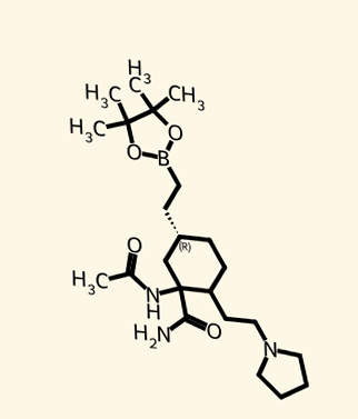 CC(=O)NC1(C(N)=O)C[C@H](CCB2OC(C)(C)C(C)(C)O2)CCC1CCN1CCCC1